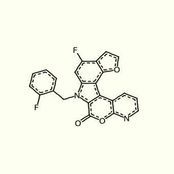 O=c1oc2ncccc2c2c3c4occc4c(F)cc3n(Cc3ccccc3F)c12